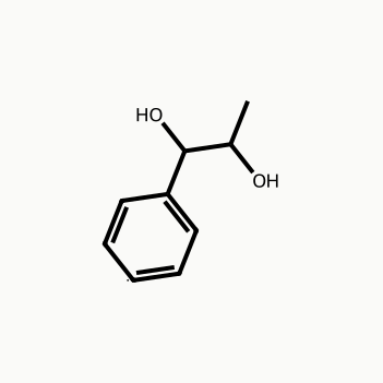 CC(O)C(O)c1cc[c]cc1